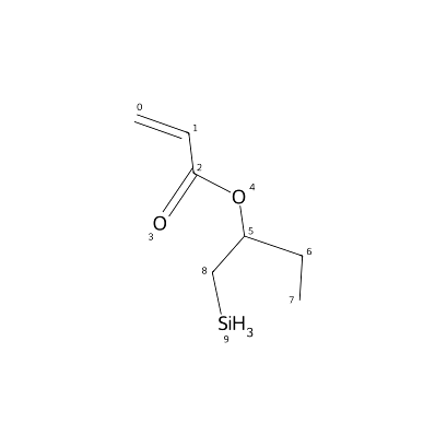 C=CC(=O)OC(CC)C[SiH3]